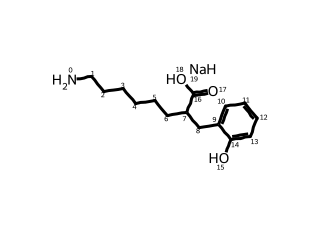 NCCCCCCC(Cc1ccccc1O)C(=O)O.[NaH]